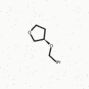 CC(C)CO[C@@H]1CCOC1